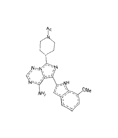 COc1cccc2cc(-c3nc(C4CCN(C(C)=O)CC4)n4ncnc(N)c34)[nH]c12